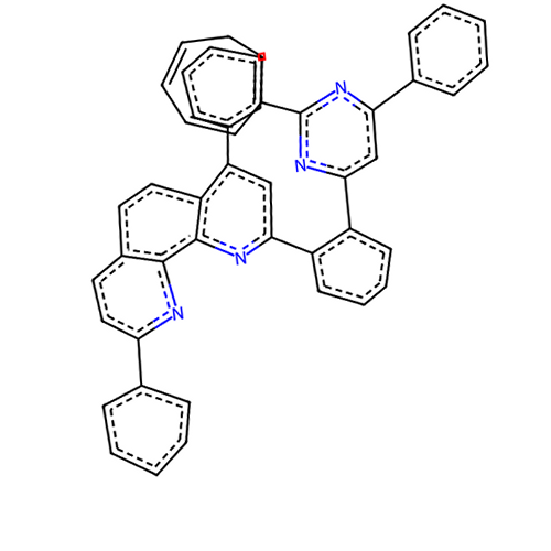 C1=CCC=C(c2nc(-c3ccccc3)cc(-c3ccccc3-c3cc(-c4ccccc4)c4ccc5ccc(-c6ccccc6)nc5c4n3)n2)C=C1